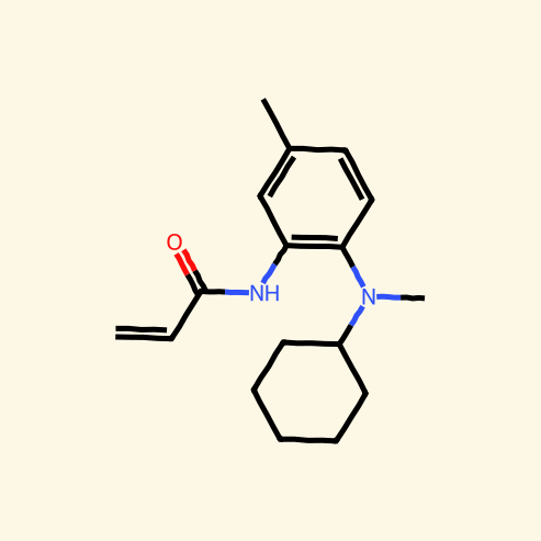 C=CC(=O)Nc1cc(C)ccc1N(C)C1CCCCC1